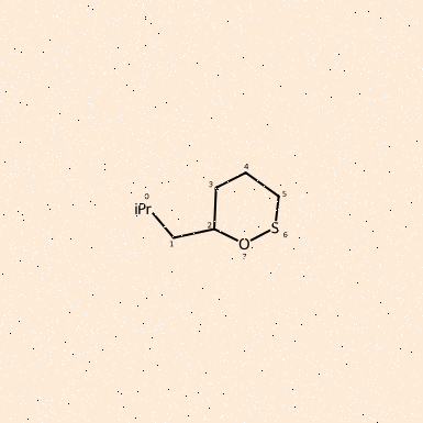 CC(C)CC1CCCSO1